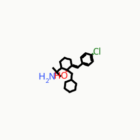 CC(C)(N)C1CCCC(=Cc2ccc(Cl)cc2)C1(O)CC1CCCCC1